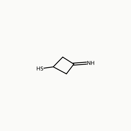 N=C1CC(S)C1